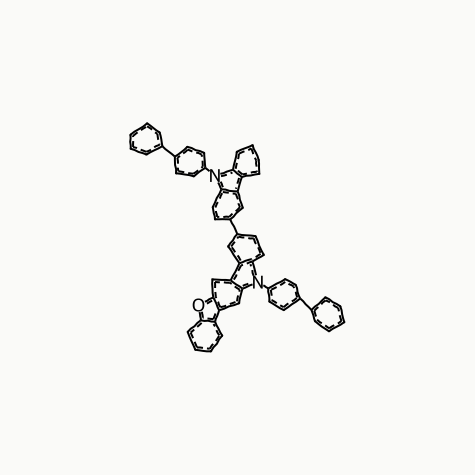 c1ccc(-c2ccc(-n3c4ccccc4c4cc(-c5ccc6c(c5)c5cc7oc8ccccc8c7cc5n6-c5ccc(-c6ccccc6)cc5)ccc43)cc2)cc1